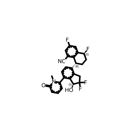 Cn1c(-c2ccc([C@H]3CC[C@H](F)c4cc(F)cc(C#N)c43)c3c2[C@H](O)C(F)(F)C3)cccc1=O